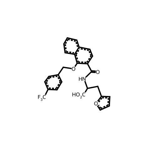 O=C(NC(Cc1ccco1)C(=O)O)c1ccc2ccccc2c1OCc1ccc(C(F)(F)F)cc1